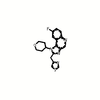 Fc1ccc2ncc3nc(Cc4cscn4)n(C4CCOCC4)c3c2c1